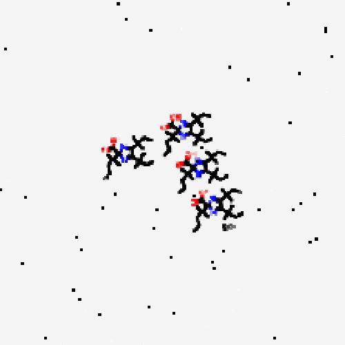 CCCC(C)(C)C1(C(=O)O)N=C(C(C)(C)CC)C(C(C)(C)CC)=N1.CCCC(C)(C)C1(C(=O)O)N=C(C(C)(C)CC)C(C(C)(C)CC)=N1.CCCC(C)(C)C1(C(=O)[O-])N=C(C(C)(C)CC)C(C(C)(C)CC)=N1.CCCC(C)(C)C1(C(=O)[O-])N=C(C(C)(C)CC)C(C(C)(C)CC)=N1.[Sr+2]